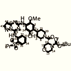 COc1cc(C2CCN(C(=O)[C@H]3COCCN3C(=O)OC(C)(C)C)CC2)c(C)cc1Nc1nc(Nc2ccccc2S(=O)(=O)C(C)C)n2nccc2n1